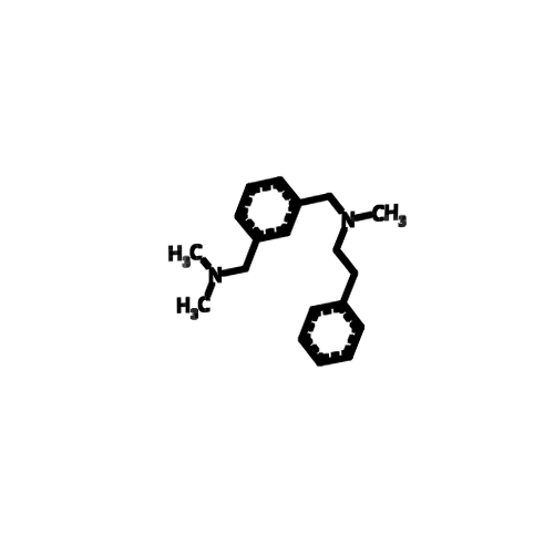 CN(C)Cc1cccc(CN(C)CCc2ccccc2)c1